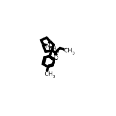 CCC(=O)C1(c2ccc(C)cc2)CC2CCC(C1)N2C